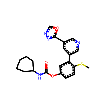 CSc1ccc(OC(=O)NC2CCCCC2)cc1-c1cncc(-c2nnco2)c1